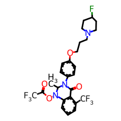 CC1N(OC(=O)C(F)(F)F)c2cccc(C(F)(F)F)c2C(=O)N1c1ccc(OCCCN2CCC(F)CC2)cc1